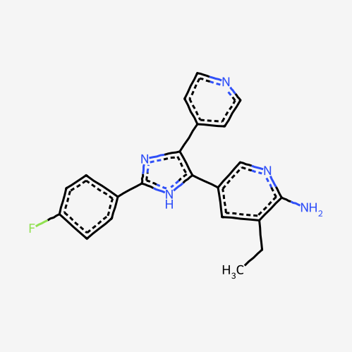 CCc1cc(-c2[nH]c(-c3ccc(F)cc3)nc2-c2ccncc2)cnc1N